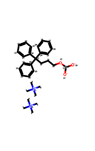 C[N+](C)(C)C.C[N+](C)(C)C.[O-]B([O-])OCCCC(c1ccccc1)(c1ccccc1)c1ccccc1